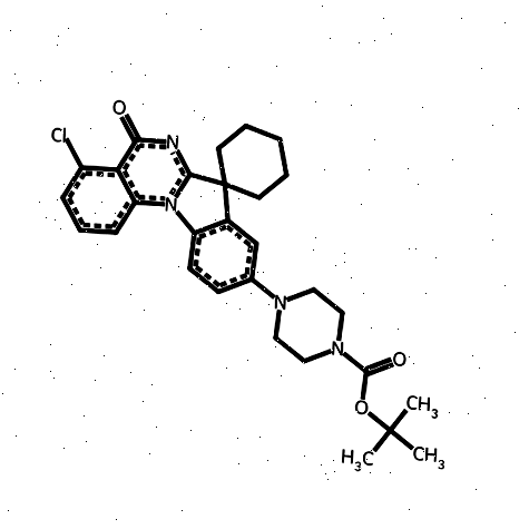 CC(C)(C)OC(=O)N1CCN(c2ccc3c(c2)C2(CCCCC2)c2nc(=O)c4c(Cl)cccc4n2-3)CC1